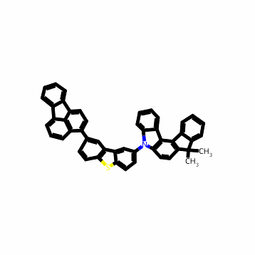 CC1(C)c2ccccc2-c2c1ccc1c2c2ccccc2n1-c1ccc2sc3ccc(-c4ccc5c6c(cccc46)-c4ccccc4-5)cc3c2c1